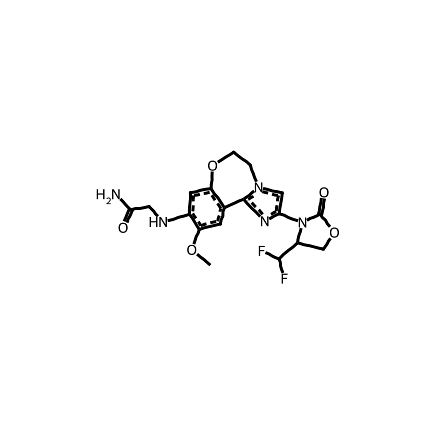 COc1cc2c(cc1NCC(N)=O)OCCn1cc(N3C(=O)OCC3C(F)F)nc1-2